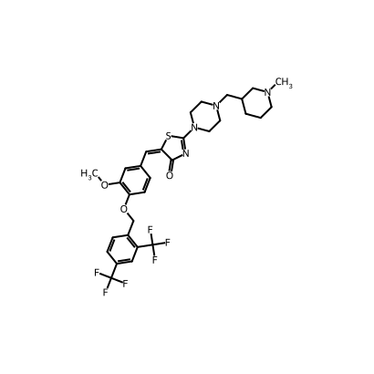 COc1cc(C=C2SC(N3CCN(CC4CCCN(C)C4)CC3)=NC2=O)ccc1OCc1ccc(C(F)(F)F)cc1C(F)(F)F